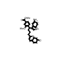 COC(=O)c1ccc(C(CCCc2ccc3ccc(Cl)cc3n2)c2c[nH]c3ccc(N)cc23)c(OC)c1